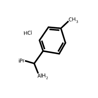 Cc1ccc([CH]([AlH2])C(C)C)cc1.Cl